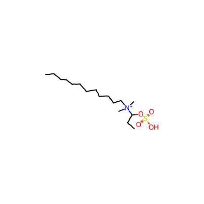 CCCCCCCCCCCC[N+](C)(C)C(CC)OS(=O)(=O)O